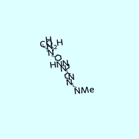 CNCCCN(C)c1ccc(-c2ccnc(Nc3cccc(CN4CCNC(CC(=O)O)C4)c3)n2)cn1